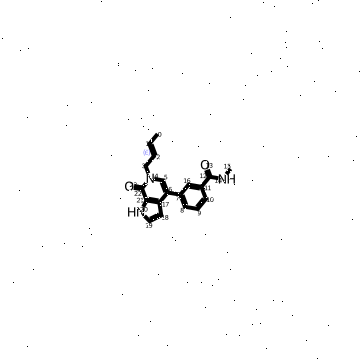 C/C=C/Cn1cc(-c2cccc(C(=O)NC)c2)c2cc[nH]c2c1=O